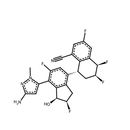 Cn1nc(N)cc1-c1c(F)cc([C@H]2C[C@H](F)[C@H](F)c3cc(F)cc(C#N)c32)c2c1[C@H](O)[C@H](F)C2